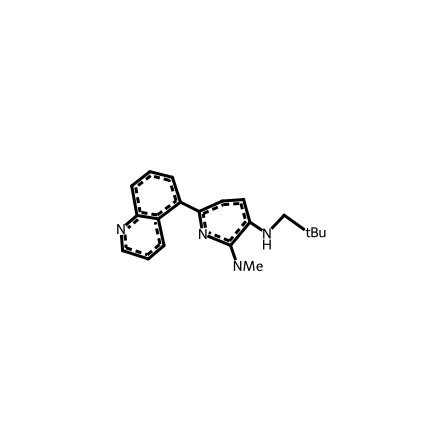 CNc1nc(-c2cccc3ncccc23)ccc1NCC(C)(C)C